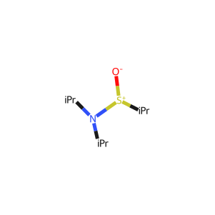 CC(C)N(C(C)C)[S+]([O-])C(C)C